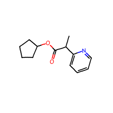 CC(C(=O)OC1CCCC1)c1ccccn1